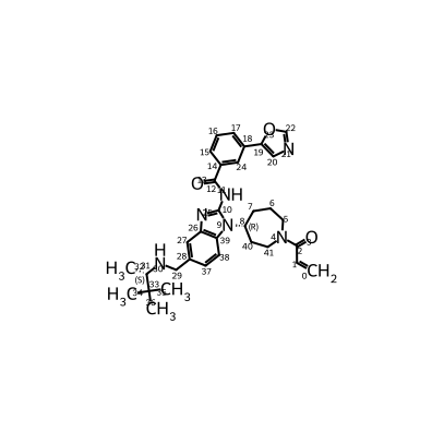 C=CC(=O)N1CCC[C@@H](n2c(NC(=O)c3cccc(-c4cnco4)c3)nc3cc(CN[C@@H](C)C(C)(C)C)ccc32)CC1